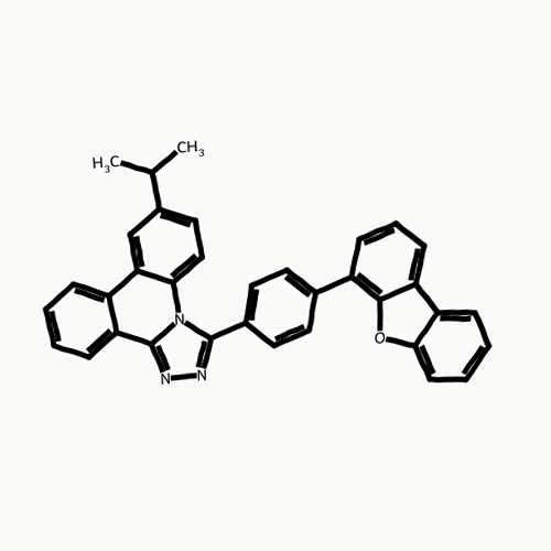 CC(C)c1ccc2c(c1)c1ccccc1c1nnc(-c3ccc(-c4cccc5c4oc4ccccc45)cc3)n21